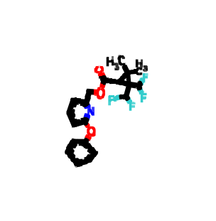 CC1(C)C(C(=O)OCc2cccc(Oc3ccccc3)n2)C1(C(F)F)C(F)F